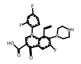 C=Cc1c(N2CCNCC2)c(F)cc2c(=O)c(C(=O)O)cn(-c3ccc(F)cc3F)c12